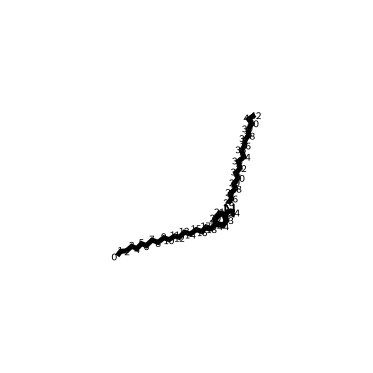 CCCCCCCCCCCCCCCCC/C=C/c1ccc(N(C)CCCCCCCCCCCCCCCCCC)cc1